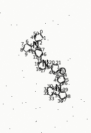 c1ccc(-n2c3ccccc3c3cc(-c4cccc(-c5ccc6oc7ccc(-n8c9ccccc9c9ccccc98)cc7c6c5)n4)ccc32)cc1